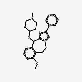 COc1cccc2c1CCn1cc(-c3ccccc3)nc1C2OC1CCN(C)CC1